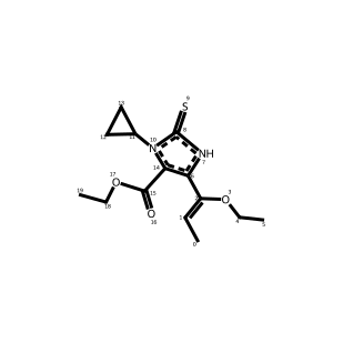 CC=C(OCC)c1[nH]c(=S)n(C2CC2)c1C(=O)OCC